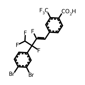 O=C(O)c1ccc(C=C(F)C(F)(c2ccc(Br)c(Br)c2)C(F)F)cc1C(F)(F)F